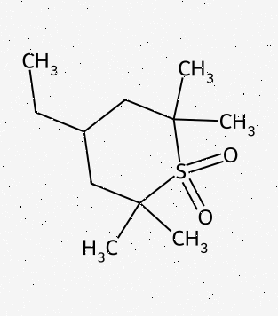 CCC1CC(C)(C)S(=O)(=O)C(C)(C)C1